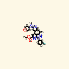 CCOC(=O)c1cc(-c2ccnc(N(C)C3CCOCC3)c2)c2c(C(C)C)nn(-c3cccc(F)c3)c2n1